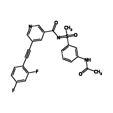 CC(=O)Nc1cccc(S(C)(=O)=NC(=O)c2cncc(C#Cc3ccc(F)cc3F)c2)c1